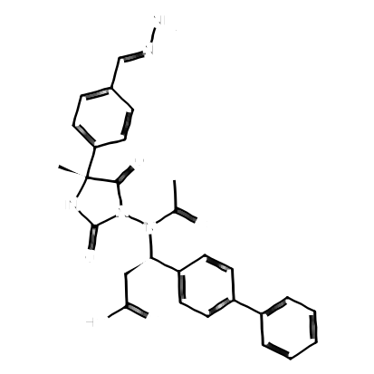 CC(=O)N([C@H](CC(=O)O)c1ccc(-c2ccccc2)cc1)N1C(=O)N[C@](C)(c2ccc(C=NN)cc2)C1=O